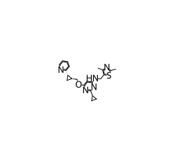 Cc1nc(C)c(CNc2cc(OC[C@H]3C[C@@H]3c3ccccn3)nc(C3CC3)n2)s1